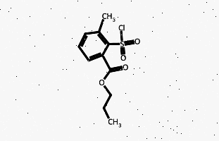 CCCOC(=O)c1cccc(C)c1S(=O)(=O)Cl